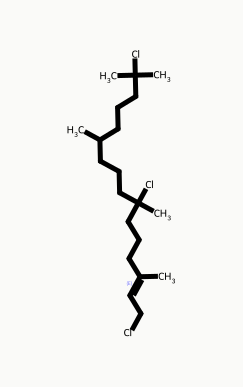 C/C(=C\CCl)CCCC(C)(Cl)CCCC(C)CCCC(C)(C)Cl